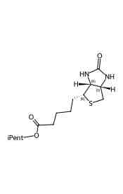 CCCC(C)OC(=O)CCCC[C@H]1SC[C@H]2NC(=O)N[C@H]21